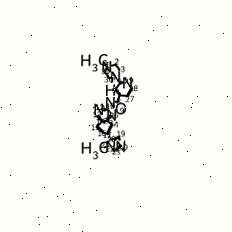 CN1CCN(c2cc(C(=O)Nc3ncc4ccc(-c5cncn5C)cc4n3)ccn2)CC1